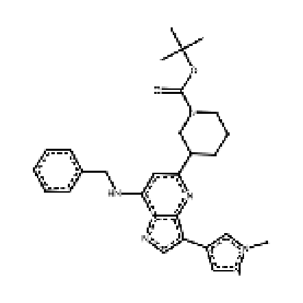 Cn1cc(-c2cnn3c(NCc4ccccc4)cc(C4CCCN(C(=O)OC(C)(C)C)C4)nc23)cn1